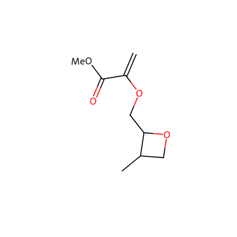 C=C(OCC1OCC1C)C(=O)OC